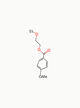 CCOCCOC(=O)c1ccc(OC)cc1